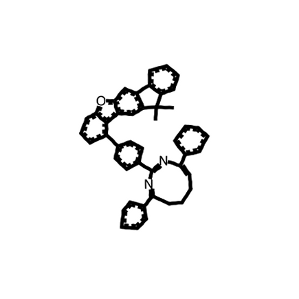 CC1(C)c2ccccc2-c2cc3oc4cccc(-c5ccc(C6=N/C(c7ccccc7)=C\CCC/C(c7ccccc7)=N\6)cc5)c4c3cc21